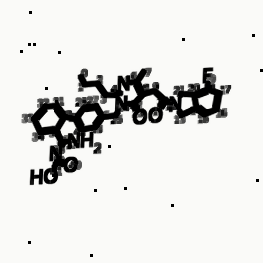 CCCCc1nc(C)c(CC(=O)N2Cc3cccc(F)c3C2)c(=O)n1Cc1ccc(-c2ccccc2/C(N)=N/C(=O)O)cc1